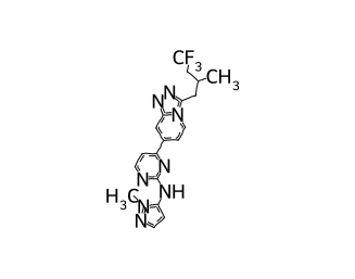 CC(Cc1nnc2cc(-c3ccnc(Nc4ccnn4C)n3)ccn12)CC(F)(F)F